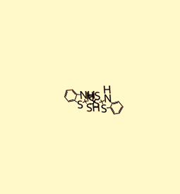 SC1(SSC2(S)Nc3ccccc3S2)Nc2ccccc2S1